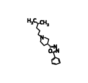 CC(C)CCCN1CCC(c2nnc(-c3ccccc3)o2)CC1